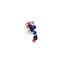 COc1ccc(CN2CCN(c3c(Cl)cc4c(=O)c(C(=O)O)cn5c4c3CCC5)CC2)cc1